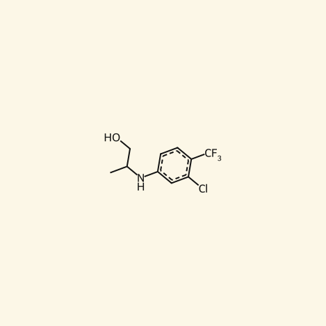 CC(CO)Nc1ccc(C(F)(F)F)c(Cl)c1